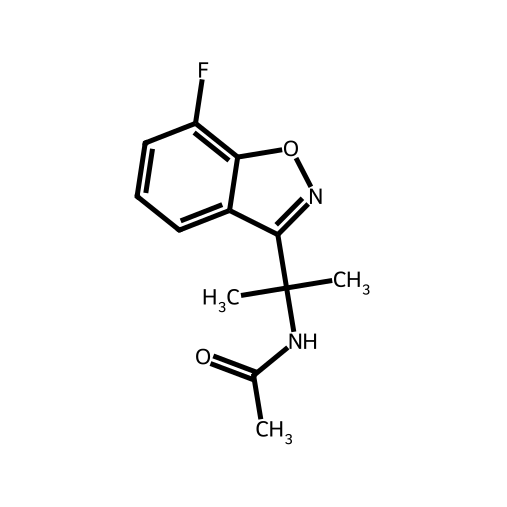 CC(=O)NC(C)(C)c1noc2c(F)cccc12